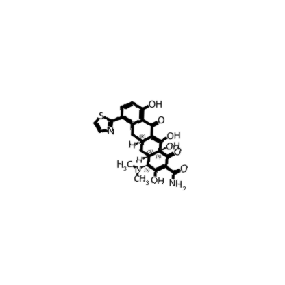 CN(C)[C@@H]1C(O)=C(C(N)=O)C(=O)[C@@]2(O)C(O)=C3C(=O)c4c(O)ccc(-c5nccs5)c4C[C@H]3C[C@@H]12